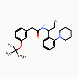 CCOC(=O)C(C)(C)Oc1cccc(CC(=O)NC(CC(C)C)c2ccccc2N2CCCCC2)c1